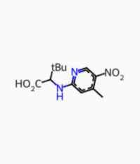 Cc1cc(NC(C(=O)O)C(C)(C)C)ncc1[N+](=O)[O-]